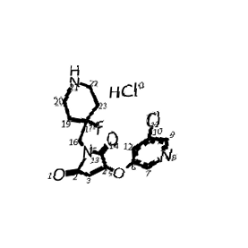 Cl.O=C1C=C(Oc2cncc(Cl)c2)C(=O)N1CC1(F)CCNCC1